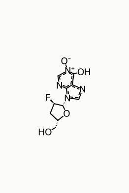 [O-][n+]1cnc2c(ncn2[C@@H]2O[C@H](CO)C[C@H]2F)c1O